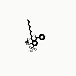 CCCCCCCCCc1c(C(=O)c2ccccc2)ccc(S(=O)(=O)O)c1NC(C)=O